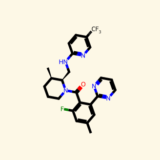 Cc1cc(F)c(C(=O)N2CCC[C@@H](C)[C@H]2CNc2ccc(C(F)(F)F)cn2)c(-c2ncccn2)c1